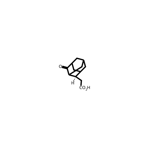 O=C(O)C[C@@H]1C2CC3CC(C2)C(=O)C1C3